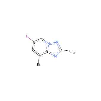 CCc1cc(I)cn2nc(C(F)(F)F)nc12